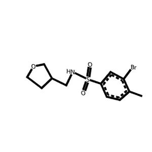 Cc1ccc(S(=O)(=O)NCC2CCOC2)cc1Br